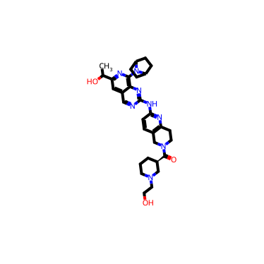 CC(O)c1cc2cnc(Nc3ccc4c(n3)CCN(C(=O)[C@@H]3CCCN(CCO)C3)C4)nc2c(N2C3CCC2CC3)n1